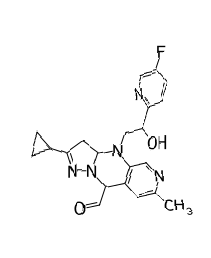 Cc1cc2c(cn1)N(CC(O)c1ccc(F)cn1)C1CC(C3CC3)=NN1C2C=O